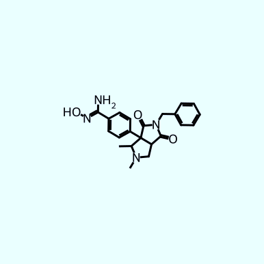 CC1N(C)CC2C(=O)N(Cc3ccccc3)C(=O)C21c1ccc(C(N)=NO)cc1